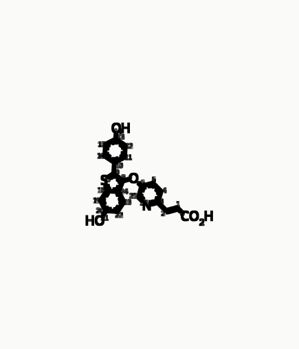 O=C(O)C=Cc1ccc(Oc2c(-c3ccc(O)cc3)sc3cc(O)ccc23)cn1